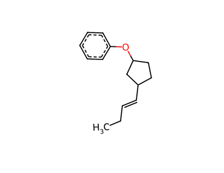 CCC=CC1CCC(Oc2ccccc2)C1